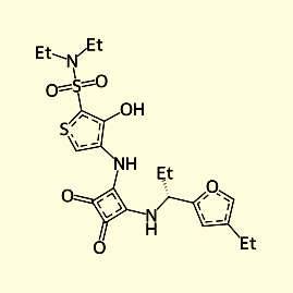 CCc1coc([C@@H](CC)Nc2c(Nc3csc(S(=O)(=O)N(CC)CC)c3O)c(=O)c2=O)c1